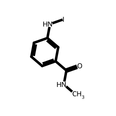 CNC(=O)c1cccc(NI)c1